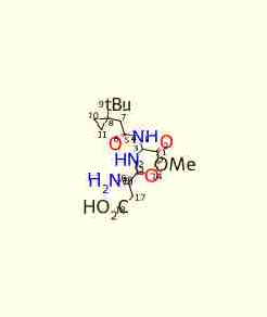 COC(=O)C(NC(=O)CC1(C(C)(C)C)CC1)NC(=O)[C@@H](N)CC(=O)O